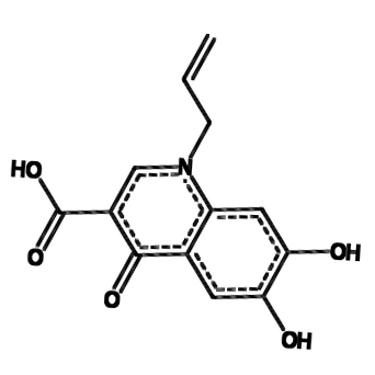 C=CCn1cc(C(=O)O)c(=O)c2cc(O)c(O)cc21